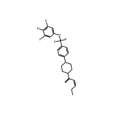 C=C(/C=C\CC)C1CCC(c2ccc(C(F)(F)Oc3cc(F)c(F)c(F)c3)cc2)CC1